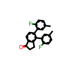 Cc1ccc(F)c(-c2ccc3c(c2-c2cc(C)ccc2F)CCC3=O)c1